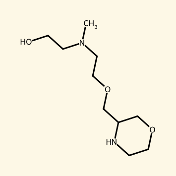 CN(CCO)CCOCC1COCCN1